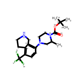 CC1CN(c2ccc(C(F)(F)F)c3c2CNCC3)CCN1C(=O)OC(C)(C)C